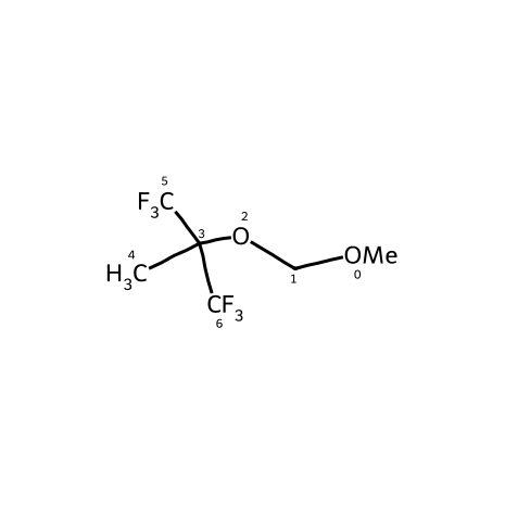 COCOC(C)(C(F)(F)F)C(F)(F)F